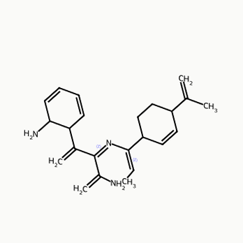 C=C(N)/C(=N\C(=C/C)C1C=CC(C(=C)C)CC1)C(=C)C1C=CC=CC1N